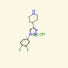 Cl.Cl.Fc1ccc(-n2cc(C3CCNCC3)nn2)cc1F